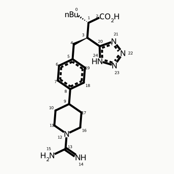 CCCC[C@H](C(=O)O)[C@H](Cc1ccc(C2CCN(C(=N)N)CC2)cc1)c1nnn[nH]1